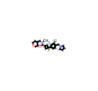 CN(CC1CCOCC1)C(=O)[C@H]1C[C@@](F)(c2ccc(CN3CCCC3)c(Cl)c2)C1